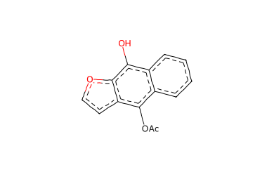 CC(=O)Oc1c2ccccc2c(O)c2occc12